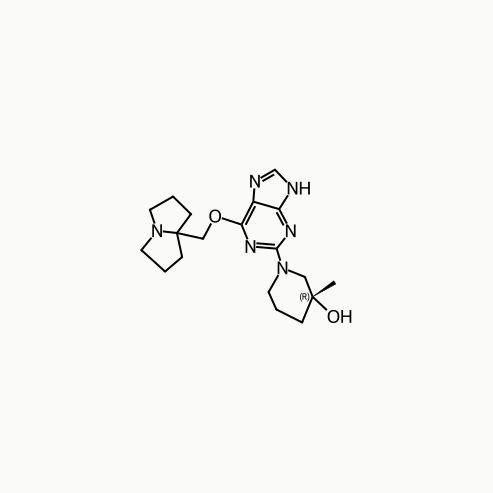 C[C@@]1(O)CCCN(c2nc(OCC34CCCN3CCC4)c3nc[nH]c3n2)C1